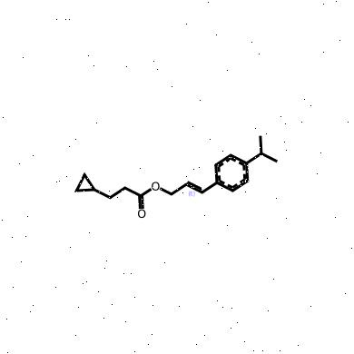 CC(C)c1ccc(/C=C/COC(=O)CCC2CC2)cc1